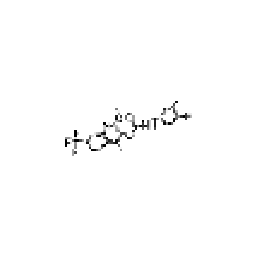 COc1nc2cc(C(F)(F)F)ccc2c(C)c1OC(=O)NCc1ccc(F)c(C)c1